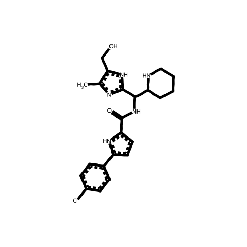 Cc1nc(C(NC(=O)c2ccc(-c3ccc(Cl)cc3)[nH]2)C2CCCCN2)[nH]c1CO